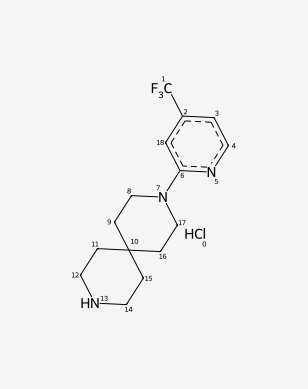 Cl.FC(F)(F)c1ccnc(N2CCC3(CCNCC3)CC2)c1